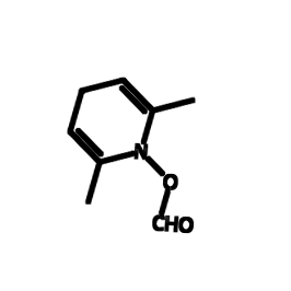 CC1=CCC=C(C)N1OC=O